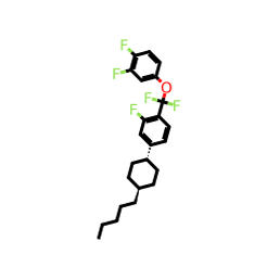 CCCCC[C@H]1CC[C@H](c2ccc(C(F)(F)Oc3ccc(F)c(F)c3)c(F)c2)CC1